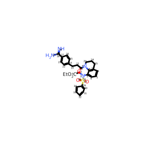 CCOC(=O)CN(c1cccc2c1N(C(=O)CCc1ccc(C(=N)N)cc1)CCC2)S(=O)(=O)c1ccccc1